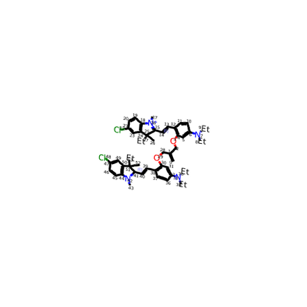 C=C(COc1cc(N(CC)CC)ccc1/C=C/C1=[N+](C)c2ccc(Cl)cc2C1(C)CC)COc1cc(N(CC)CC)ccc1/C=C/C1N(C)c2ccc(Cl)cc2C1(C)CC